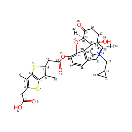 Cc1c(CC(=O)O)sc2c(C)c(CC(=O)Oc3ccc4c5c3O[C@H]3C(=O)CC[C@@]6(O)[C@@H](C4)N(CC4CC4)CC[C@]536)sc12